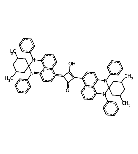 CC1CC(C)CC2(C1)N(c1ccccc1)c1cccc3c(C4=C(O)/C(=c5/ccc6c7c(cccc57)N(c5ccccc5)C5(CC(C)CC(C)C5)[N+]=6c5ccccc5)C4=O)ccc(c13)N2c1ccccc1